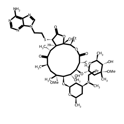 CC[C@H]1OC(=O)[C@H](C)[C@@H](O[C@H]2C[C@@](C)(OC)[C@@H](O)[C@H](C)O2)[C@H](C)[C@@H](O[C@@H]2O[C@H](C)C[C@H](N(C)CC(C)C)[C@H]2O)[C@](C)(OC)C[C@@H](C)C(=O)[C@H](C)[C@H]2[C@H](SCCn3cnc4c(N)ncnc43)C(=O)O[C@@]21C